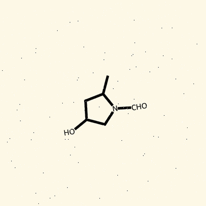 CC1CC(O)CN1C=O